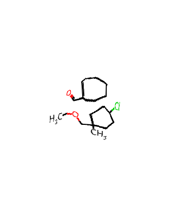 COCC1(C)CCC(Cl)CC1.O=CC1=CCCCC1